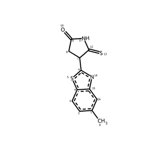 Cc1ccc2sc(C3CC(=O)NC3=S)nc2c1